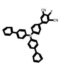 N#Cc1cc(-c2ccc(N(c3ccc(-c4ccccc4)cc3)c3ccc(-c4ccccc4)cc3)cc2)cc(C#N)c1F